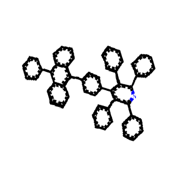 c1ccc(-c2nc(-c3ccccc3)c(-c3ccccc3)c(-c3ccc(-c4c5ccccc5c(-c5ccccc5)c5ccccc45)cc3)c2-c2ccccc2)cc1